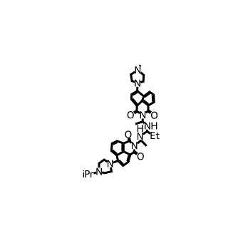 CCC(NC(C)N1C(=O)c2cccc3c(N4CCN(C)CC4)ccc(c23)C1=O)NC(C)N1C(=O)c2cccc3c(N4CCN(C(C)C)CC4)ccc(c23)C1=O